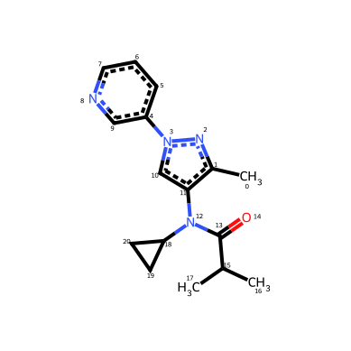 Cc1nn(-c2cccnc2)cc1N(C(=O)C(C)C)C1CC1